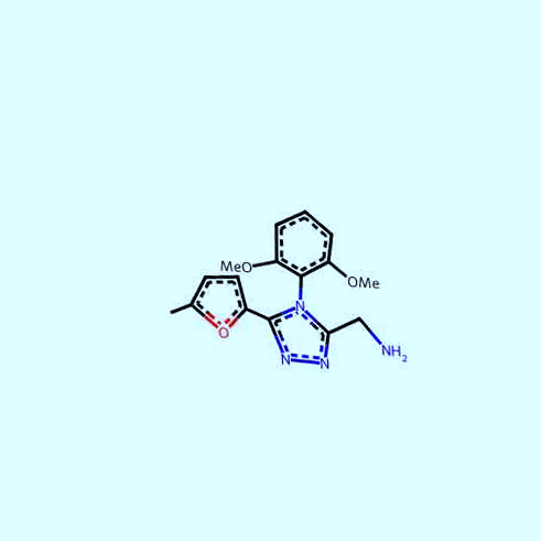 COc1cccc(OC)c1-n1c(CN)nnc1-c1ccc(C)o1